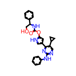 O=C(NC(CO)c1ccccc1)Oc1cc(-c2nc(Nc3ccccc3)ncc2C2CC2)c[nH]1